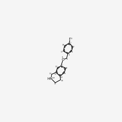 Fc1ccc(COc2ccc3c(c2)CNCC3)cc1